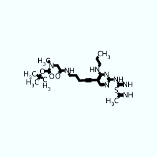 CCCNc1nc(NC(=N)SC(C)=N)ncc1C#CCCCNC(=O)CN(C)C(=O)OC(C)(C)C